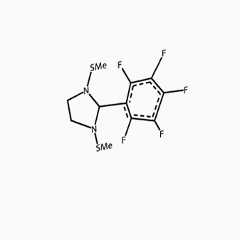 CSN1CCN(SC)C1c1c(F)c(F)c(F)c(F)c1F